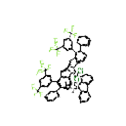 CC1=Cc2c(ccc(-c3ccccc3)c2-c2cc(C(F)(F)F)cc(C(F)(F)F)c2)[CH]1[Zr]([Cl])([Cl])([c]1cccc2c1[SiH2]c1ccccc1-2)[CH]1C(C)=Cc2c1ccc(-c1ccccc1)c2-c1cc(C(F)(F)F)cc(C(F)(F)F)c1